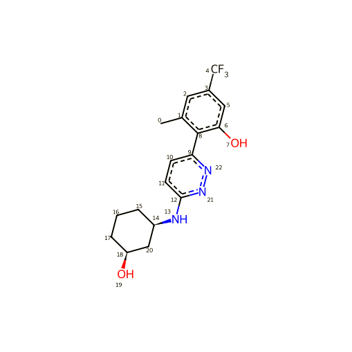 Cc1cc(C(F)(F)F)cc(O)c1-c1ccc(N[C@@H]2CCC[C@H](O)C2)nn1